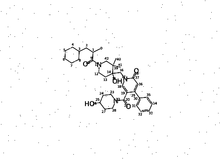 CC(CC1CCCCC1)C(=O)N1CCC(O)(Cn2cc(C(=O)N3CCC(O)CC3)c(-c3ccccc3)cc2=O)C(C)(C)C1